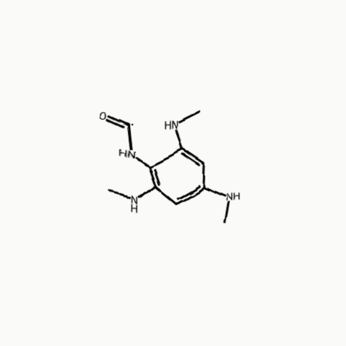 CNc1cc(NC)c(N[C]=O)c(NC)c1